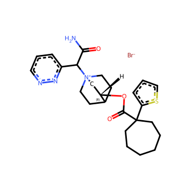 NC(=O)C(c1cccnn1)[N+]12CCC(CC1)[C@@H](OC(=O)C1(c3cccs3)CCCCCC1)C2.[Br-]